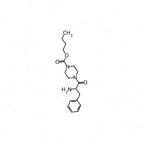 CCCCOC(=O)N1CCN(C(=O)C(N)Cc2ccccc2)CC1